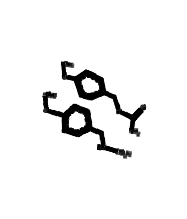 CCCCCCCCCCOc1ccc(CNC(=O)O)cc1.CCCCCCCCCCOc1ccc(COC(N)=O)cc1